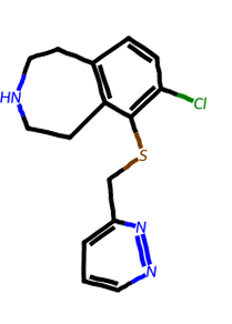 Clc1ccc2c(c1SCc1cccnn1)CCNCC2